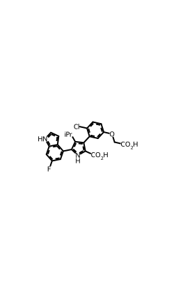 CC(C)c1c(-c2cc(F)cc3[nH]ccc23)[nH]c(C(=O)O)c1-c1cc(OCC(=O)O)ccc1Cl